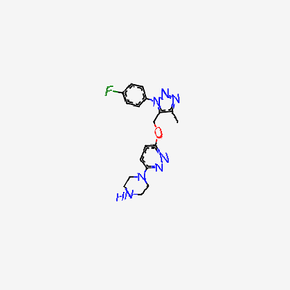 Cc1nnn(-c2ccc(F)cc2)c1COc1ccc(N2CCNCC2)nn1